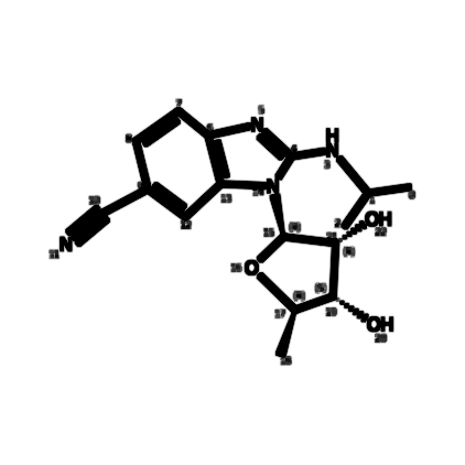 CC(C)Nc1nc2ccc(C#N)cc2n1[C@@H]1O[C@H](C)[C@@H](O)[C@H]1O